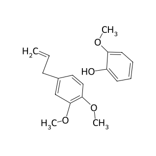 C=CCc1ccc(OC)c(OC)c1.COc1ccccc1O